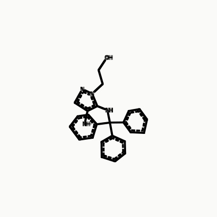 [NH]c1cnn(CCO)c1NC(c1ccccc1)(c1ccccc1)c1ccccc1